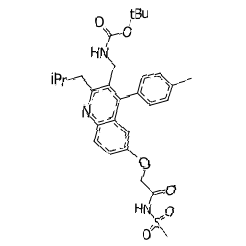 Cc1ccc(-c2c(CNC(=O)OC(C)(C)C)c(CC(C)C)nc3ccc(OCC(=O)NS(C)(=O)=O)cc23)cc1